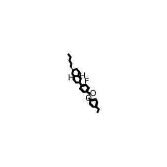 CCCCC[C@H]1CC[C@@H]2CC(c3ccc(C(=O)Oc4ccc(CC)cc4)cc3F)CC[C@H]2C1